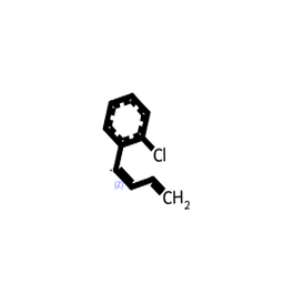 C=C/C=[C]\c1ccccc1Cl